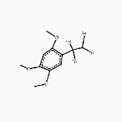 [2H]C([2H])C([2H])([2H])c1cc(OC)c(OC)cc1OC